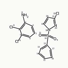 Nc1cccc(Cl)c1Cl.O=S(=O)(c1ccccc1)n1ccc(Cl)n1